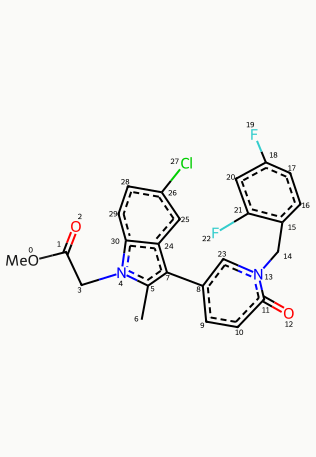 COC(=O)Cn1c(C)c(-c2ccc(=O)n(Cc3ccc(F)cc3F)c2)c2cc(Cl)ccc21